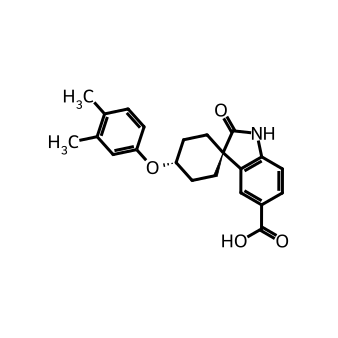 Cc1ccc(O[C@H]2CC[C@@]3(CC2)C(=O)Nc2ccc(C(=O)O)cc23)cc1C